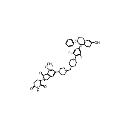 COc1cc(N2CCN(CC3CCN(c4c(F)cc([C@H]5c6ccc(O)cc6CC[C@H]5c5ccccc5)cc4F)CC3)CC2)cc2c1C(=O)N(C1CCC(=O)NC1=O)C2